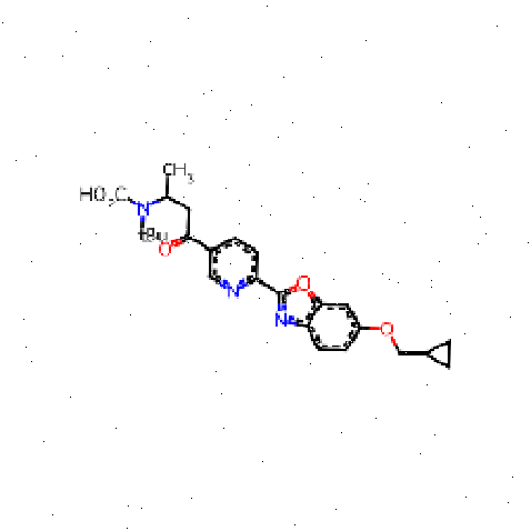 CC(CC(=O)c1ccc(-c2nc3ccc(OCC4CC4)cc3o2)nc1)N(C(=O)O)C(C)(C)C